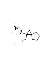 Cl.NCC1(c2noc(=O)[nH]2)CC12CCCC2